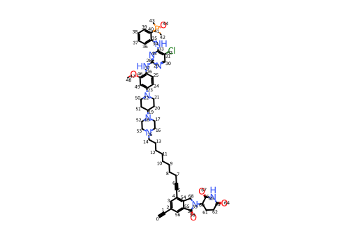 C#Cc1cc(C#CCCCCCCCCN2CCN(C3CCN(c4ccc(Nc5ncc(Cl)c(Nc6ccccc6P(C)(C)=O)n5)c(OC)c4)CC3)CC2)c2c(c1)C(=O)N(C1CCC(=O)NC1=O)C2